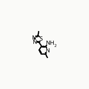 Cc1ccc(-c2nnc(C)s2)c(N)n1